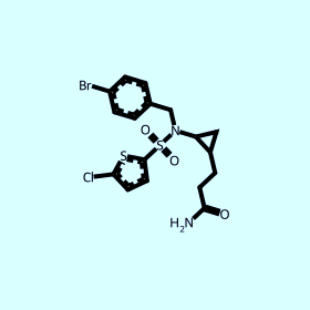 NC(=O)CCC1CC1N(Cc1ccc(Br)cc1)S(=O)(=O)c1ccc(Cl)s1